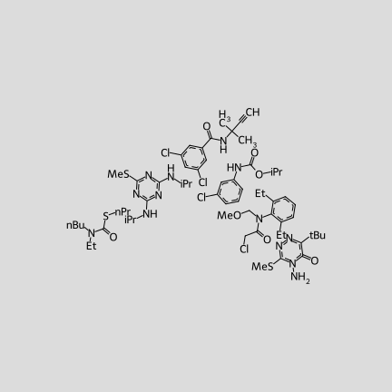 C#CC(C)(C)NC(=O)c1cc(Cl)cc(Cl)c1.CC(C)OC(=O)Nc1cccc(Cl)c1.CCCCN(CC)C(=O)SCCC.CCc1cccc(CC)c1N(COC)C(=O)CCl.CSc1nc(NC(C)C)nc(NC(C)C)n1.CSc1nnc(C(C)(C)C)c(=O)n1N